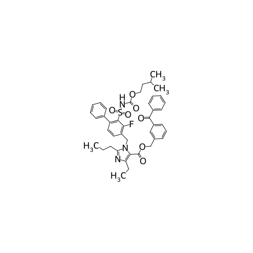 CCCc1nc(CC)c(C(=O)OCc2cccc(C(=O)c3ccccc3)c2)n1Cc1ccc(-c2ccccc2)c(S(=O)(=O)NC(=O)OCCC(C)C)c1F